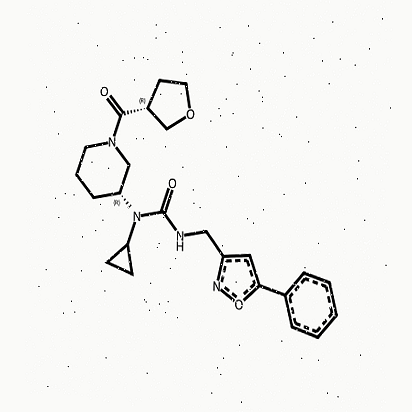 O=C([C@@H]1CCOC1)N1CCC[C@@H](N(C(=O)NCc2cc(-c3ccccc3)on2)C2CC2)C1